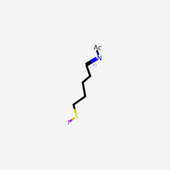 CC(=O)/N=C/CCCCSI